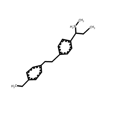 CCc1ccc(CCc2ccc(C(CC)[SiH2]C)cc2)cc1